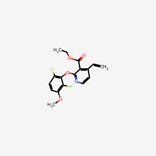 C=Cc1ccnc(Oc2c(F)ccc(OC)c2F)c1C(=O)OCC